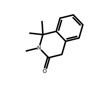 CN1C(=O)Cc2ccccc2C1(C)C